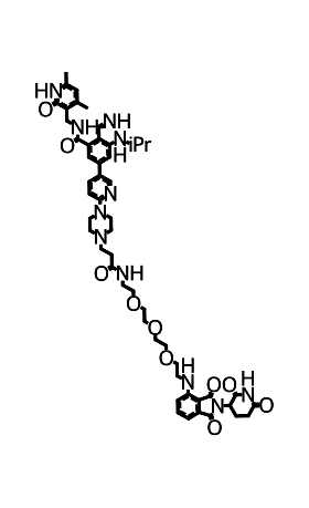 Cc1cc(C)c(CNC(=O)c2cc(-c3ccc(N4CCN(CCC(=O)NCCOCCOCCOCCNc5cccc6c5C(=O)N(C5CCC(=O)NC5=O)C6=O)CC4)nc3)cc(NC(C)C)c2C=N)c(=O)[nH]1